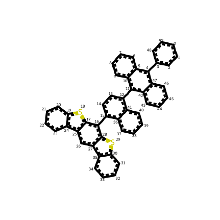 c1ccc(-c2c3ccccc3c(-c3ccc(-c4c5sc6ccccc6c5cc5c4sc4ccccc45)c4ccccc34)c3ccccc23)cc1